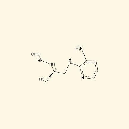 Nc1cccnc1NC[C@H](NBC=O)C(=O)O